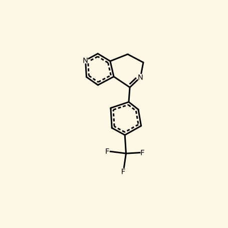 FC(F)(F)c1ccc(C2=NCCc3cnccc32)cc1